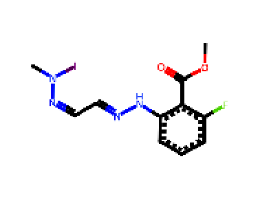 COC(=O)c1c(F)cccc1N/N=C/C=N\N(C)I